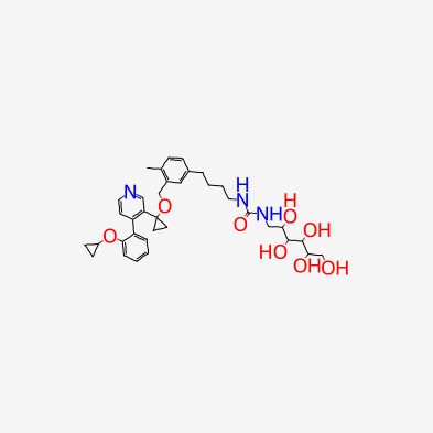 Cc1ccc(CCCCNC(=O)NCC(O)C(O)C(O)C(O)CO)cc1COC1(c2cnccc2-c2ccccc2OC2CC2)CC1